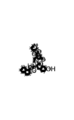 O=C(NC(Cc1ccc(O)cc1)C(=O)N1CCC2C1C(=O)CN2S(=O)(=O)c1cccnc1)Oc1cccc2ccccc12